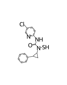 O=C(Nc1ccc(Cl)cn1)N(S)C1CC1c1ccccc1